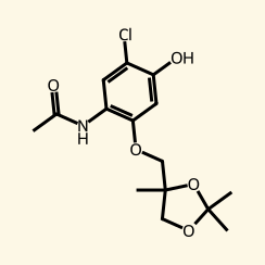 CC(=O)Nc1cc(Cl)c(O)cc1OCC1(C)COC(C)(C)O1